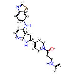 C=C(C)NCCC(=O)N1CC=C(C2Cc3c(Nc4ccc5ncsc5c4)ccnc3N2)CC1